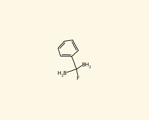 BC(B)(F)c1ccccc1